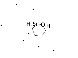 C1CC[SiH2]OC1.[H]